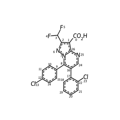 O=C(O)c1c(C(F)F)nn2c(-c3ccc(Cl)cc3)c(-c3ccccc3Cl)cnc12